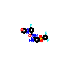 O=C(Nc1n[nH]c2ccc(S(=O)(=O)c3cc(F)cc(F)c3)cc12)c1ccc(F)cc1NC1CCOCC1